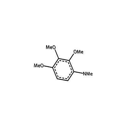 CNc1ccc(OC)c(OC)c1OC